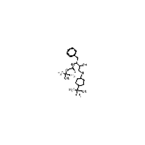 CC(C)(C)OC(=O)N[C@@H](Cc1ccccc1)[C@@H](O)CNC1CCC(C(C)(C)C)CC1